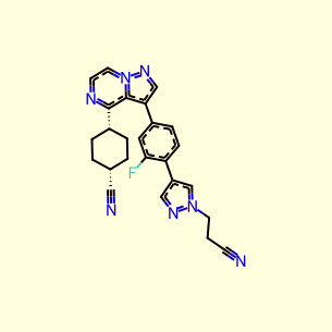 N#CCCn1cc(-c2ccc(-c3cnn4ccnc([C@H]5CC[C@@H](C#N)CC5)c34)cc2F)cn1